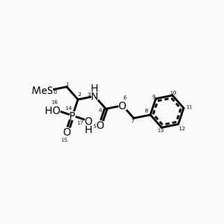 CSCC(NC(=O)OCc1ccccc1)P(=O)(O)O